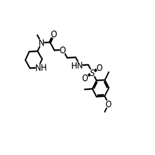 COc1cc(C)c(S(=O)(=O)CNCCOCC(=O)N(C)C2CCCNC2)c(C)c1